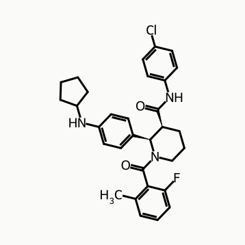 Cc1cccc(F)c1C(=O)N1CCC[C@H](C(=O)Nc2ccc(Cl)cc2)[C@@H]1c1ccc(NC2CCCC2)cc1